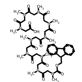 CN(CC(=O)O)C(=O)CN(C)C(=O)CN(C)C(=O)CN(C)C(=O)CN(C)C(=O)CN(C)C(=O)CN(C)C(=O)CN(C)C(=O)CN(C)C(=O)CN(C)C(=O)OCC1c2ccccc2-c2ccccc21